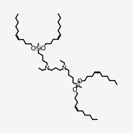 CCCCC/C=C\CCCO[Si](C)(CCCCN(CC)CCCN(CC)CCCC[Si](C)(OCCC/C=C\CCCCC)OCCC/C=C\CCCCC)OCCC/C=C\CCCCC